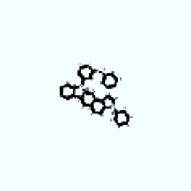 c1ccc(Oc2cccc(-n3c4ccccc4c4cc5ccc6c(ccn6-c6ccccc6)c5cc43)c2)cc1